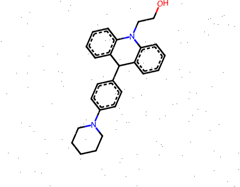 OCCN1c2ccccc2C(c2ccc(N3CCCCC3)cc2)c2ccccc21